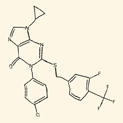 O=c1c2ncn(C3CC3)c2nc(SCc2ccc(C(F)(F)F)c(F)c2)n1-c1ccc(Cl)cc1